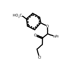 CCCC(Oc1ccc(C(=O)O)cc1)C(=O)CCCl